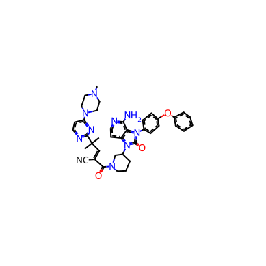 CN1CCN(c2ccnc(C(C)(C)C=C(C#N)C(=O)N3CCCC(n4c(=O)n(-c5ccc(Oc6ccccc6)cc5)c5c(N)nccc54)C3)n2)CC1